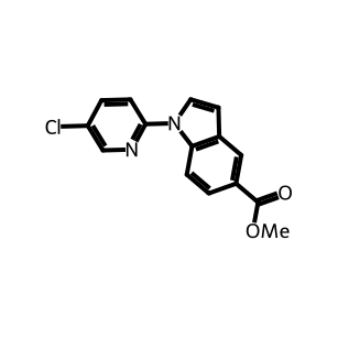 COC(=O)c1ccc2c(ccn2-c2ccc(Cl)cn2)c1